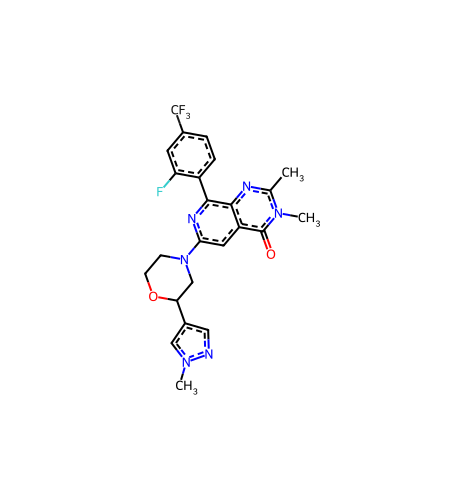 Cc1nc2c(-c3ccc(C(F)(F)F)cc3F)nc(N3CCOC(c4cnn(C)c4)C3)cc2c(=O)n1C